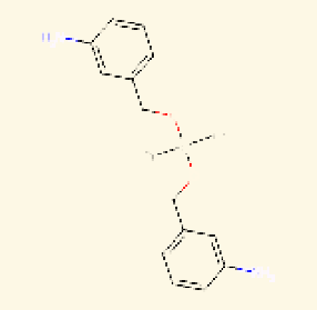 CC(C)[Si](OCc1cccc(N)c1)(OCc1cccc(N)c1)C(C)C